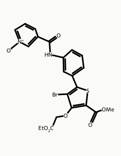 CCOC(=O)COc1c(C(=O)OC)sc(-c2cccc(NC(=O)c3ccc[n+]([O-])c3)c2)c1Br